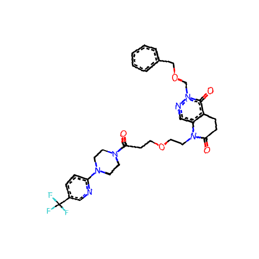 O=C(CCOCCN1C(=O)CCc2c1cnn(COCc1ccccc1)c2=O)N1CCN(c2ccc(C(F)(F)F)cn2)CC1